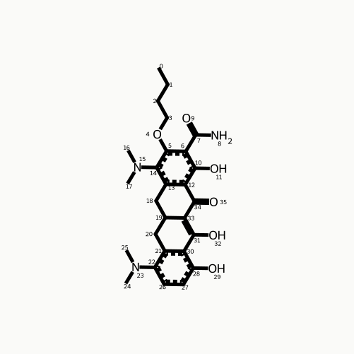 CCCCOc1c(C(N)=O)c(O)c2c(c1N(C)C)CC1Cc3c(N(C)C)ccc(O)c3C(O)=C1C2=O